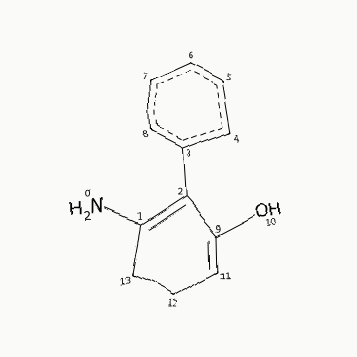 NC1=C(c2ccccc2)C(O)=CCC1